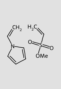 C=CS(=O)(=O)OC.C=Cn1cccc1